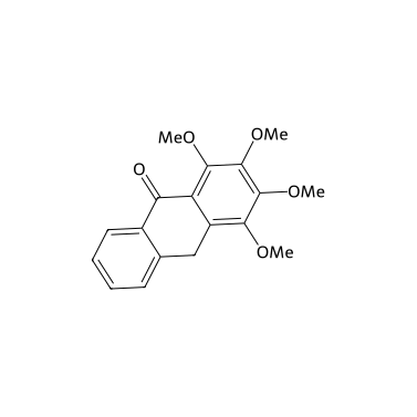 COc1c2c(c(OC)c(OC)c1OC)C(=O)c1ccccc1C2